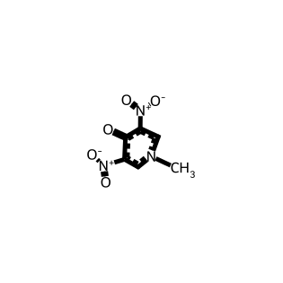 Cn1cc([N+](=O)[O-])c(=O)c([N+](=O)[O-])c1